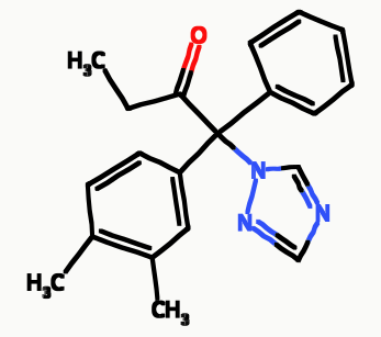 CCC(=O)C(c1ccccc1)(c1ccc(C)c(C)c1)n1cncn1